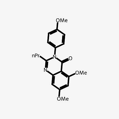 CCCc1nc2cc(OC)cc(OC)c2c(=O)n1-c1ccc(OC)cc1